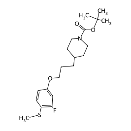 CSc1ccc(OCCCC2CCN(C(=O)OC(C)(C)C)CC2)cc1F